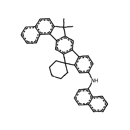 CC1(C)c2cc3c(cc2-c2c1ccc1ccccc21)C1(CCCCC1)c1cc(Nc2cccc4ccccc24)ccc1-3